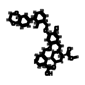 COC(=O)[C@@H]1CCCCN1Cc1cc(Cl)c(OCc2cccc(-c3ccc4c(c3)OCCO4)c2C)cc1OCc1cncc(C(=O)O)c1